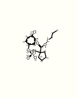 CCCCOC(=O)C1(NP(=O)(Cl)Oc2ccc(Cl)cc2)CCCC1